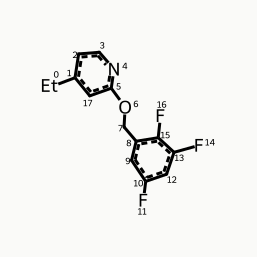 CCc1ccnc(OCc2cc(F)cc(F)c2F)c1